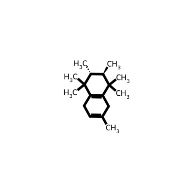 CC1=CCC2=C(C1)C(C)(C)[C@H](C)[C@@H](C)C2(C)C